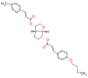 CCCCOc1ccc(/C=C/C(=O)O[C@@H]2CC[C@H]3[C@@H]2OC[C@H]3OC(=O)/C=C/c2ccc(C)cc2)cc1